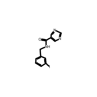 O=C(NCc1cccc(I)c1)c1cncnc1